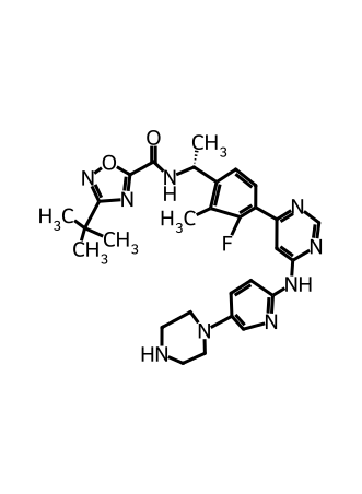 Cc1c([C@@H](C)NC(=O)c2nc(C(C)(C)C)no2)ccc(-c2cc(Nc3ccc(N4CCNCC4)cn3)ncn2)c1F